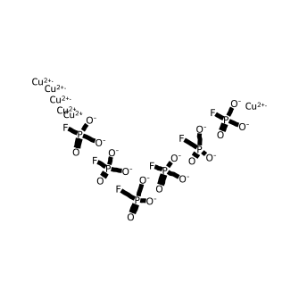 O=P([O-])([O-])F.O=P([O-])([O-])F.O=P([O-])([O-])F.O=P([O-])([O-])F.O=P([O-])([O-])F.O=P([O-])([O-])F.[Cu+2].[Cu+2].[Cu+2].[Cu+2].[Cu+2].[Cu+2]